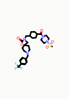 CS(=O)(=O)N1CCN(C(=O)C2CCC(CN3CC4(CCN(Cc5ccc(C(F)(F)F)cc5)CC4)OC3=O)CC2)CC1